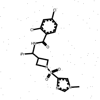 CC(C)C(NC(=O)c1ccc(Cl)cc1Cl)C1CN(S(=O)(=O)c2cn(C)cn2)C1